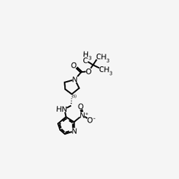 CC(C)(C)OC(=O)N1CC[C@@H](CNc2cccnc2[N+](=O)[O-])C1